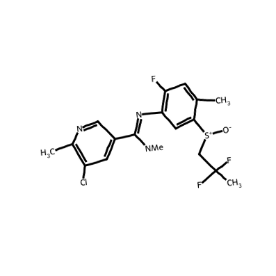 CN/C(=N\c1cc([S+]([O-])CC(C)(F)F)c(C)cc1F)c1cnc(C)c(Cl)c1